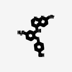 CCCc1ccc2c(Nc3cc(C)ccc3Sc3ccc(O)cc3)ccnc2n1